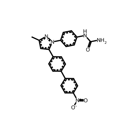 Cc1cc(-c2ccc(-c3ccc([N+](=O)[O-])cc3)cc2)n(-c2ccc(NC(N)=O)cc2)n1